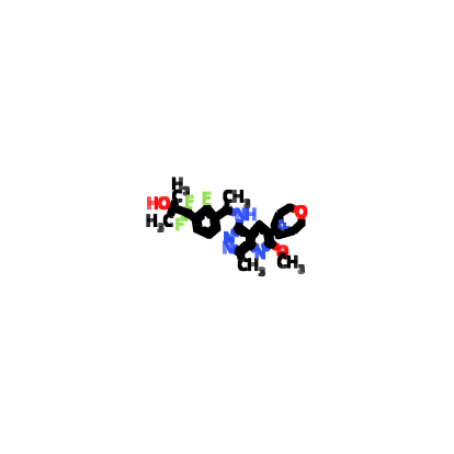 COc1nc2c(C)nnc(N[C@H](C)c3cccc(C(F)(F)C(C)(C)O)c3F)c2cc1N1C2CCC1COC2